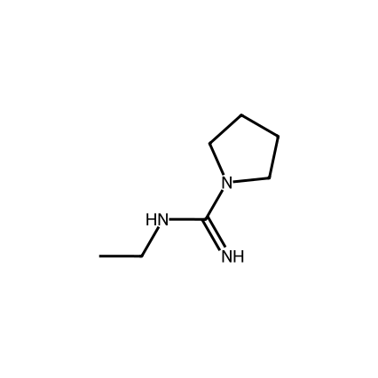 CCNC(=N)N1CCCC1